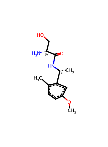 COc1ccc(C)c([C@@H](C)NC(=O)[C@H](N)CO)c1